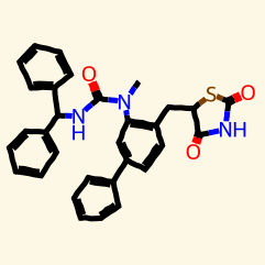 CN(C(=O)NC(c1ccccc1)c1ccccc1)c1cc(-c2ccccc2)ccc1CC1SC(=O)NC1=O